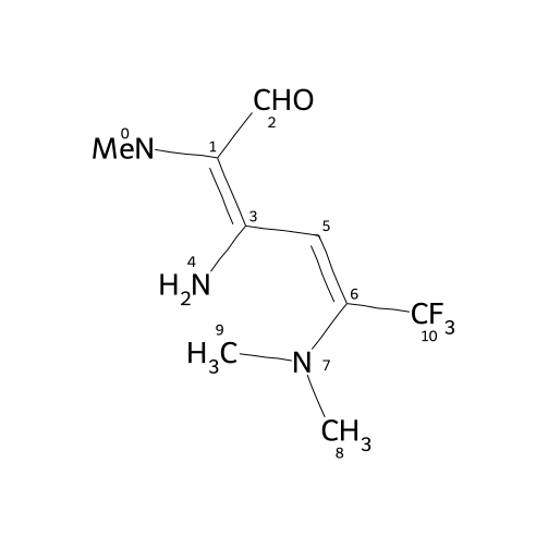 CN/C(C=O)=C(N)/C=C(\N(C)C)C(F)(F)F